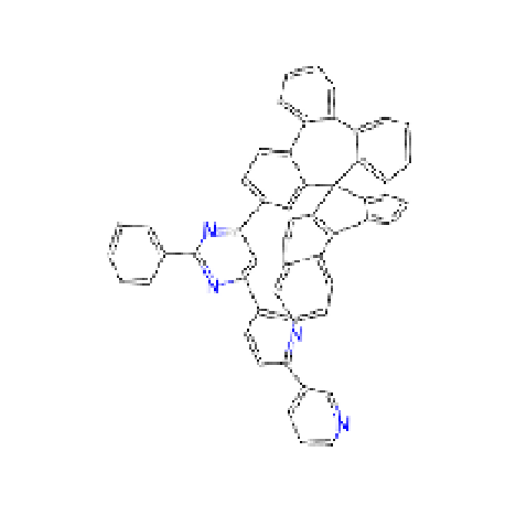 c1ccc(-c2nc(-c3ccc(-c4cccnc4)nc3)cc(-c3ccc4c(c3)C3(c5ccccc5-c5ccccc5-4)c4ccccc4-c4c3ccc3ccccc43)n2)cc1